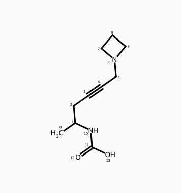 CC(CC#CCN1CCC1)NC(=O)O